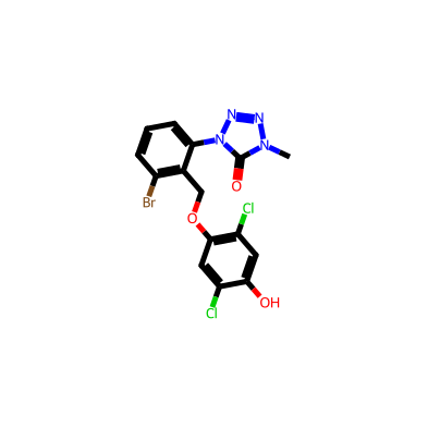 Cn1nnn(-c2cccc(Br)c2COc2cc(Cl)c(O)cc2Cl)c1=O